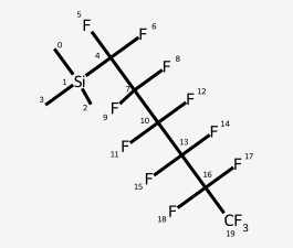 C[Si](C)(C)C(F)(F)C(F)(F)C(F)(F)C(F)(F)C(F)(F)C(F)(F)F